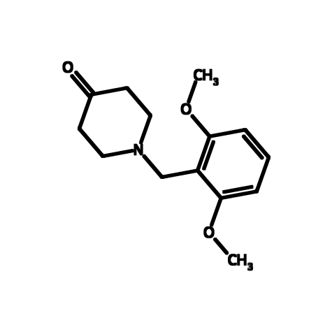 COc1cccc(OC)c1CN1CCC(=O)CC1